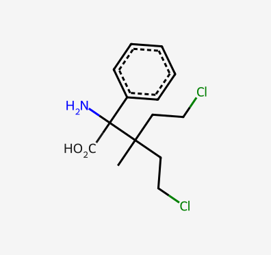 CC(CCCl)(CCCl)C(N)(C(=O)O)c1ccccc1